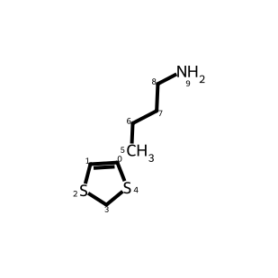 C1=CSCS1.CCCCN